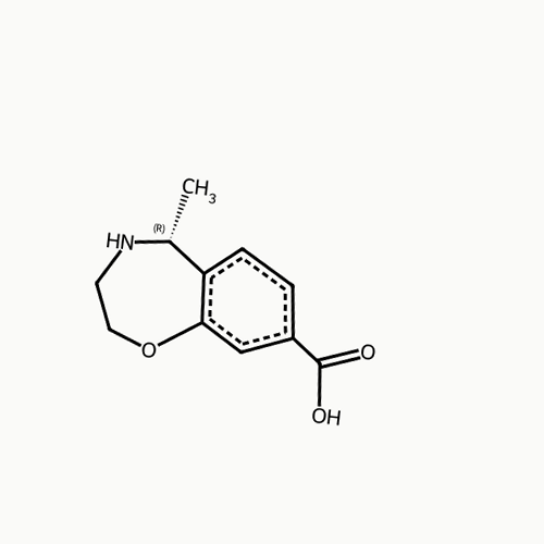 C[C@H]1NCCOc2cc(C(=O)O)ccc21